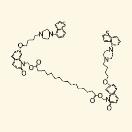 O=C(CCCCCCCCCCCCCCC(=O)OCn1c(=O)ccc2ccc(OCCCCN3CCN(c4cccc5sccc45)CC3)cc21)OCn1c(=O)ccc2ccc(OCCCCN3CCN(c4cccc5sccc45)CC3)cc21